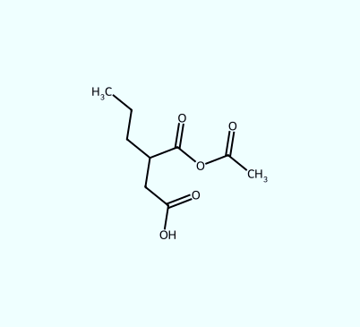 CCCC(CC(=O)O)C(=O)OC(C)=O